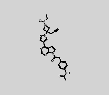 CC[S+]([O-])N1CC(CC#N)(n2cc(-c3ncnc4c3ccn4C(=O)Cc3ccc(NC(C)=O)cc3)cn2)C1